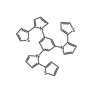 c1csc(-c2cccn2-c2cc(-n3cccc3-c3cccs3)cc(-n3cccc3-c3cccs3)c2)c1